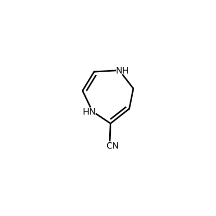 N#CC1=CCNC=CN1